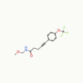 COCNC(=O)CCC#Cc1ccc(OC(F)(F)F)cc1